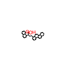 O=C(O)C(CCc1cccc2c1ccc1c3c(ccc12)CCC=C3)c1cccc2ccccc12